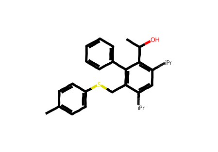 Cc1ccc(SCc2c(C(C)C)cc(C(C)C)c(C(C)O)c2-c2ccccc2)cc1